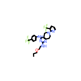 CCCOCCNc1nc2c(c(Nc3ccc(C(F)(F)F)cc3)n1)CCN(c1ncccc1C(F)(F)F)CC2